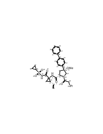 C=C[C@@H]1C[C@]1(NC(=O)[C@@H]1C[C@@](OC)(c2ccc(-c3ccccc3)cc2)CN1C(=O)CC(C)C)C(=O)NS(=O)(=O)C1CC1